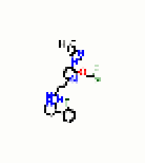 Cc1cn(-c2ccc(C=Cc3nc4n(n3)CCCC4c3ccccc3F)nc2OCC(F)F)cn1